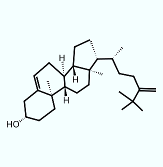 C=C(CC[C@@H](C)[C@H]1CC[C@H]2[C@@H]3CC=C4C[C@@H](O)CC[C@]4(C)[C@H]3CC[C@]12C)C(C)(C)C